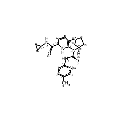 Cc1ccc(NC(=O)N2C3=C(C=CC(C(=O)NC4CC4)N3)N3CC[C@H]2C3)nc1